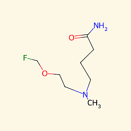 CN(CCCC(N)=O)CCOCF